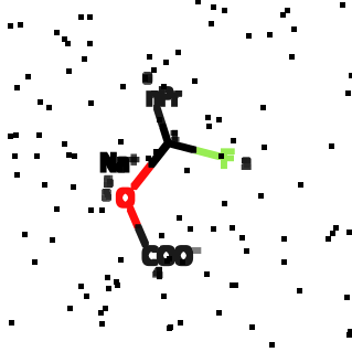 CCCC(F)OC(=O)[O-].[Na+]